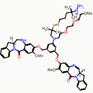 COCCOCCOCCN(CC(C)(C)SSCCCC(C)(C)NN)c1cc(COc2cc3c(cc2OC)C(=O)N2c4ccccc4C[C@H]2C=N3)cc(COc2cc3c(cc2OC)C(=O)N2c4ccccc4C[C@H]2CN3)c1